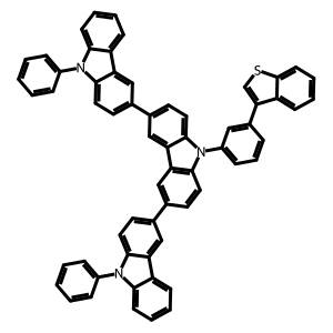 c1ccc(-n2c3ccccc3c3cc(-c4ccc5c(c4)c4cc(-c6ccc7c(c6)c6ccccc6n7-c6ccccc6)ccc4n5-c4cccc(-c5csc6ccccc56)c4)ccc32)cc1